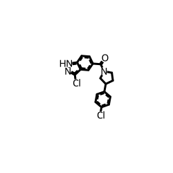 O=C(c1ccc2[nH]nc(Cl)c2c1)N1CCC(c2ccc(Cl)cc2)C1